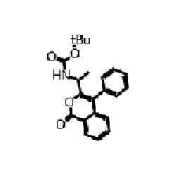 CC(NC(=O)OC(C)(C)C)c1oc(=O)c2ccccc2c1-c1ccccc1